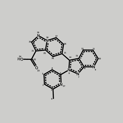 Cc1cccc(-n2nc3ncccc3c2-c2ccn3ncc(C(=O)O)c3c2)n1